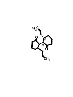 C=CCC1CC=CC(=O)C1[C@@H]1C(=O)C=CC[C@H]1CC=C